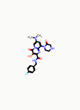 CN(C)c1cc(N2CCNCC2=O)c2nc(C(=O)NCc3ccc(F)cc3)c(O)c(=O)n2c1